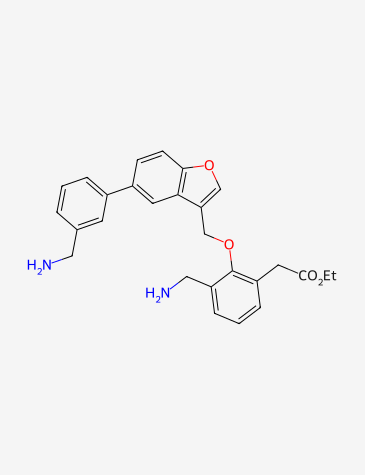 CCOC(=O)Cc1cccc(CN)c1OCc1coc2ccc(-c3cccc(CN)c3)cc12